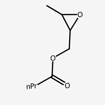 CCCC(=O)OCC1OC1C